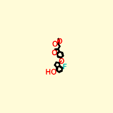 COC(=O)Cc1coc2cc(O[C@@H]3CCc4c(O)ccc(F)c43)ccc12